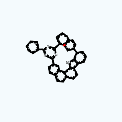 c1ccc(-c2nc(-c3ccccc3)nc(-c3ccc4ccc5ccc6c7cccc(-c8ccccc8)c7[se]c6c5c4c3)n2)cc1